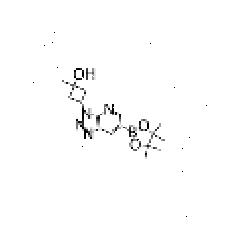 CC1(O)CC(n2nnc3cc(B4OC(C)(C)C(C)(C)O4)cnc32)C1